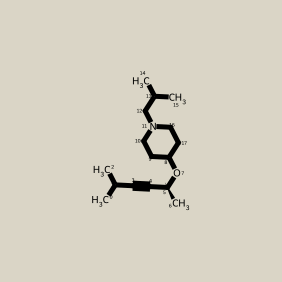 CC(C)C#C[C@H](C)OC1CCN(CC(C)C)CC1